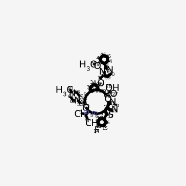 C#C/C(Cl)=C1\C=C/Cc2c(-c3ccc(F)cc3)sc3ncnc(c23)O[C@H](C(=O)O)Cc2cc(ccc2OCc2ccnc(-c3ccccc3OC)n2)CC[C@@H](CN2CCN(C)CC2)O1